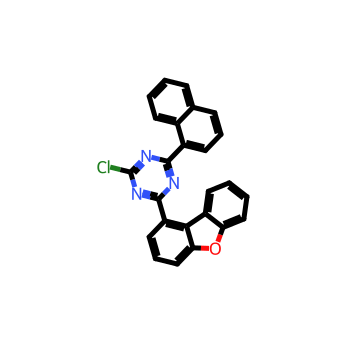 Clc1nc(-c2cccc3ccccc23)nc(-c2cccc3oc4ccccc4c23)n1